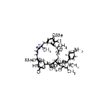 COc1cc2cc(c1Cl)N(C)C(=O)CC[C@@]1(C)[C@H](OC(=O)[C@H](C)N(C)C(=O)c3ccc(N)cc3)O[C@H]1[C@H](C)[C@@H]1C[C@@](O)(NC(=O)O1)[C@H](OC)/C=C/C=C(\C)C2